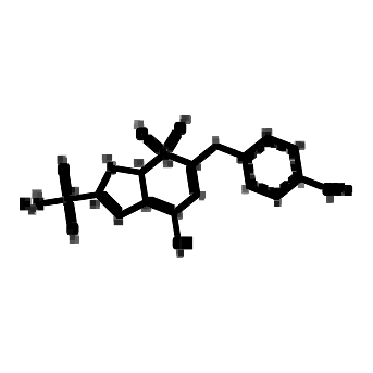 COc1ccc(CC2=CC(O)=C3C=C(S(N)(=O)=O)SC3S2(=O)=O)cc1